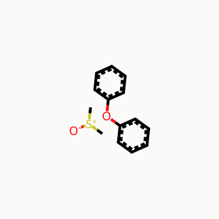 C[S+](C)[O-].c1ccc(Oc2ccccc2)cc1